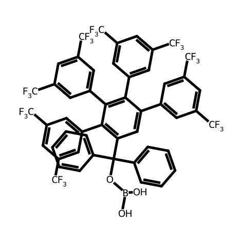 OB(O)OC(c1ccccc1)(c1ccccc1)c1cc(-c2cc(C(F)(F)F)cc(C(F)(F)F)c2)c(-c2cc(C(F)(F)F)cc(C(F)(F)F)c2)c(-c2cc(C(F)(F)F)cc(C(F)(F)F)c2)c1-c1cc(C(F)(F)F)cc(C(F)(F)F)c1